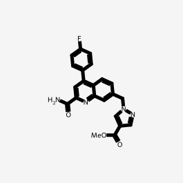 COC(=O)c1cnn(Cc2ccc3c(-c4ccc(F)cc4)cc(C(N)=O)nc3c2)c1